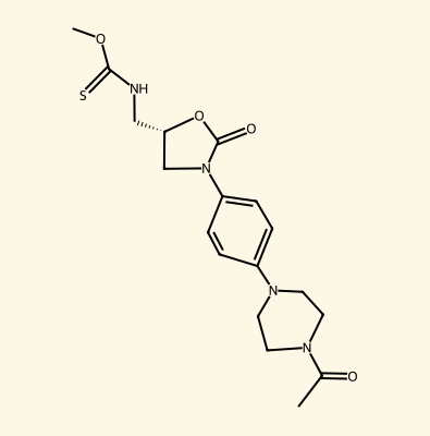 COC(=S)NC[C@H]1CN(c2ccc(N3CCN(C(C)=O)CC3)cc2)C(=O)O1